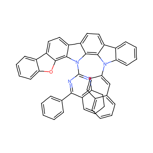 C1=Cc2c(nc(-n3c4c(ccc5c6ccccc6oc54)c4ccc5c6ccccc6n(-c6ccc7ccccc7c6)c5c43)nc2-c2ccccc2)CC1